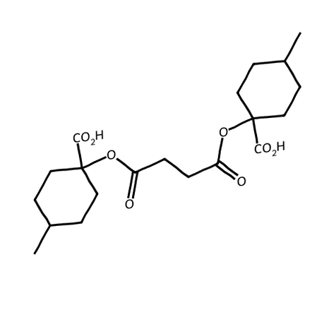 CC1CCC(OC(=O)CCC(=O)OC2(C(=O)O)CCC(C)CC2)(C(=O)O)CC1